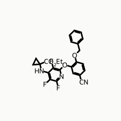 CCOC(=O)C1(Nc2c(F)c(F)nc(Oc3cc(C#N)ccc3OCc3ccccc3)c2F)CC1